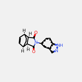 O=C1[C@@H]2[C@H](C(=O)N1c1ccc3[nH]ncc3c1)[C@@H]1C=C[C@H]2CC1